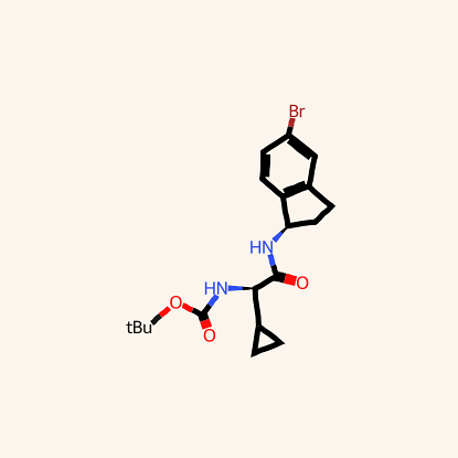 CC(C)(C)OC(=O)N[C@@H](C(=O)N[C@@H]1CCc2cc(Br)ccc21)C1CC1